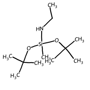 CCN[Si](C)(OC(C)(C)C)OC(C)(C)C